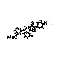 COC(=O)N[C@H](C(=O)N1CCC[C@H]1c1nc(Br)c(-c2ccc(N)cc2)[nH]1)C(C)C